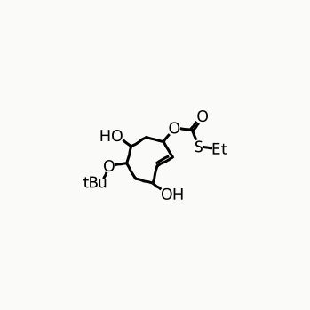 CCSC(=O)OC1/C=C/C(O)CC(OC(C)(C)C)C(O)C1